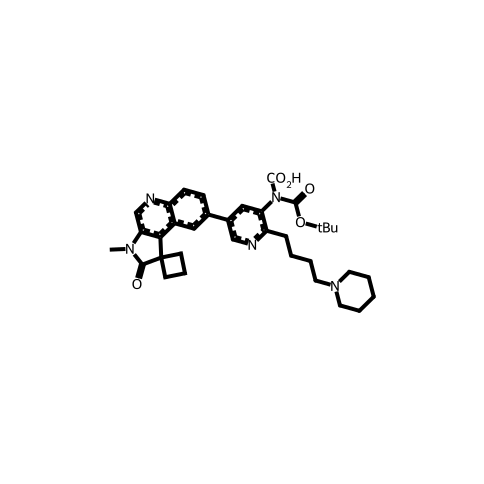 CN1C(=O)C2(CCC2)c2c1cnc1ccc(-c3cnc(CCCCN4CCCCC4)c(N(C(=O)O)C(=O)OC(C)(C)C)c3)cc21